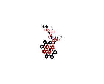 C=C(C)C(=O)OCC(O)COC(=O)/C=C/C(=O)OC(COC(=O)C(=C)C)COc1ccccc1Cc1ccccc1Cc1ccccc1Cc1ccccc1Cc1ccccc1Cc1ccccc1Cc1ccccc1Cc1ccccc1Cc1ccccc1Cc1ccccc1Cc1ccccc1Cc1ccccc1Cc1ccccc1Cc1ccccc1CC